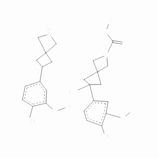 Cc1ccc(C2(O)CC3(CN(C(=O)OC(C)(C)C)C3)C2)cc1OC(F)(F)F.Cc1ccc(C2CC3(CNC3)C2)cc1OC(F)(F)F